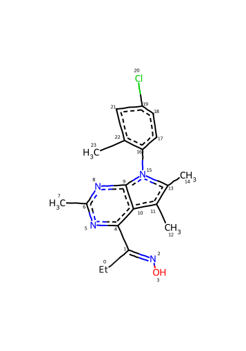 CCC(=NO)c1nc(C)nc2c1c(C)c(C)n2-c1ccc(Cl)cc1C